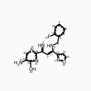 N=C(/C=C(\NCc1ccccc1F)c1ccon1)c1ncc(N)c(O)n1